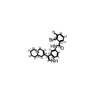 O=C(Nc1ccc2[nH]cc(C3=CCN4CCCCC4C3)c2c1)c1cccc(I)c1Br